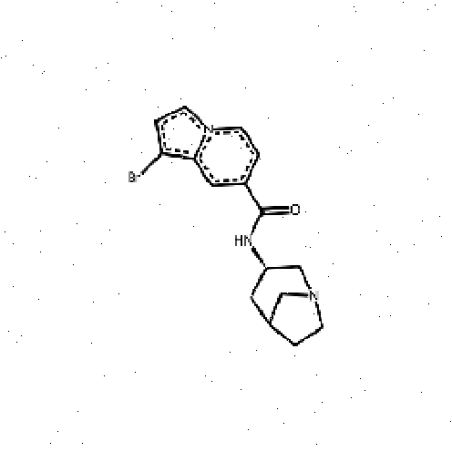 O=C(N[C@@H]1CC2CCN(C2)C1)c1ccn2ccc(Br)c2c1